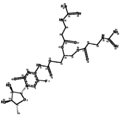 C[C@H]1O[C@@H](n2cc(F)c(NC(=O)OCC(COC(=O)CCNC(=N)N)OC(=O)CCNC(=N)N)nc2=O)[C@H](O)[C@@H]1O